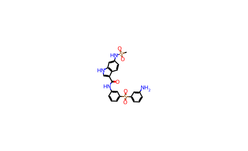 CS(=O)(=O)Nc1ccc2c(C(=O)Nc3cccc(S(=O)(=O)c4cccc(N)c4)c3)c[nH]c2c1